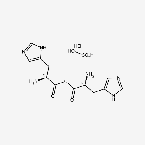 Cl.N[C@@H](Cc1cnc[nH]1)C(=O)OC(=O)[C@@H](N)Cc1cnc[nH]1.O=S(=O)(O)O